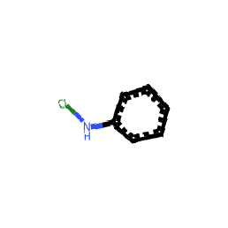 ClNc1[c]cccc1